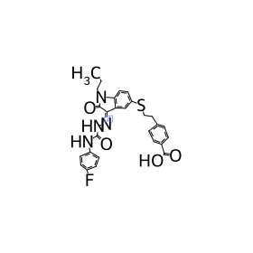 CCCN1C(=O)/C(=N\NC(=O)Nc2ccc(F)cc2)c2cc(SCCc3ccc(C(=O)O)cc3)ccc21